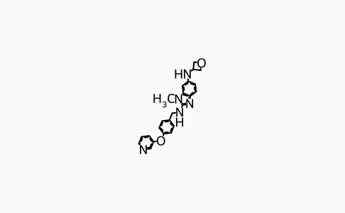 Cn1c(NCc2ccc(Oc3cccnc3)cc2)nc2ccc(NC3COC3)cc21